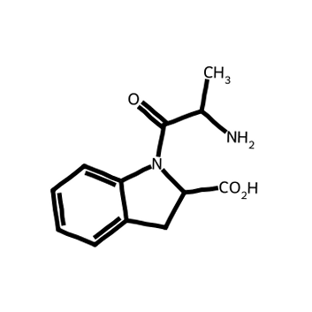 CC(N)C(=O)N1c2ccccc2CC1C(=O)O